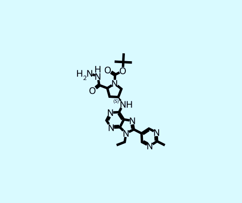 CCn1c(-c2cnc(C)nc2)nc2c(N[C@H]3CC(C(=O)NN)N(C(=O)OC(C)(C)C)C3)ncnc21